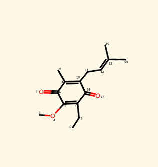 CCC1=C(OC)C(=O)C(C)=C(CC=C(C)C)C1=O